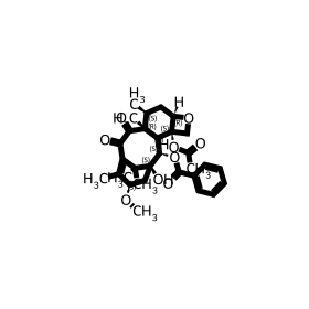 CO[C@H]1C[C@@]2(O)[C@@H](OC(=O)c3ccccc3)[C@@H]3[C@]4(OC(C)=O)CO[C@@H]4C[C@H](C)[C@@]3(C)C(=O)C(=O)C(=C1C)C2(C)C